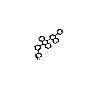 c1ccc(-c2ccc(-c3c4ccccc4c(-c4cccc(-c5ccncc5)c4)c4ccccc34)c3ccccc23)cc1